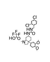 COc1ccc(C23CCC(NC(=O)NCc4ccc(Cl)cc4Cl)CC2N(C)CC3)cc1OC.O=C(O)C(F)(F)F